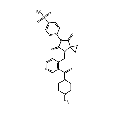 CN1CCN(C(=O)c2cnccc2CN2C(=O)N(c3ccc(S(=O)(=O)C(F)(F)F)cc3)C(=O)C23CC3)CC1